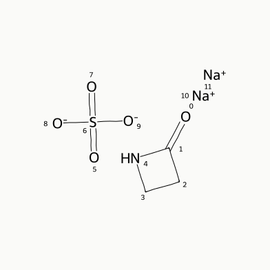 O=C1CCN1.O=S(=O)([O-])[O-].[Na+].[Na+]